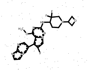 COc1nc(NC2CCN(C3COC3)CC2(F)F)nn2cc(F)c(-c3cnc4nccn4c3)c12